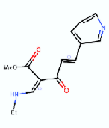 CCN/C=C(/C(=O)/C=C/c1cccnc1)C(=O)OC